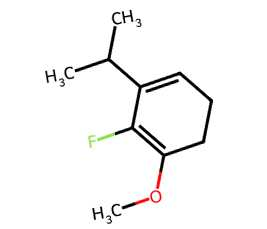 COC1=C(F)C(C(C)C)=CCC1